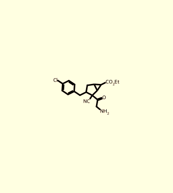 CCOC(=O)C1C2CC(Cc3ccc(Cl)cc3)C(C#N)(C(=O)CN)C21